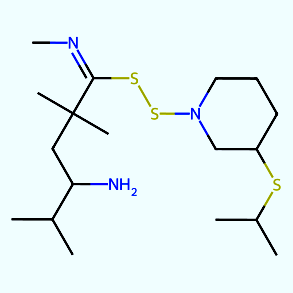 C/N=C(/SSN1CCCC(SC(C)C)C1)C(C)(C)CC(N)C(C)C